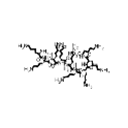 NCCCC[C@H](NC(=O)[C@H](CCCCN)NC(=O)[C@H](CCCCN)NC(=O)[C@H](CCCCN)NC(=O)[C@H](CCCCN)NC(=O)[C@H](CCCCN)NC(=O)[C@H](CCCCN)NC(=O)[C@H](CCCCN)NC(=O)[C@@H](N)CCCCN)C(=O)O